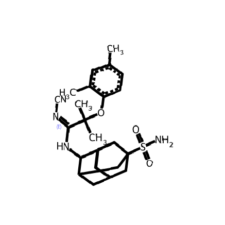 Cc1ccc(OC(C)(C)/C(=N\C#N)NC2C3CC4CC2CC(S(N)(=O)=O)(C4)C3)c(C)c1